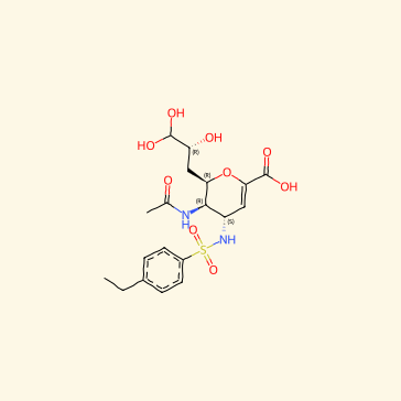 CCc1ccc(S(=O)(=O)N[C@H]2C=C(C(=O)O)O[C@H](C[C@@H](O)C(O)O)[C@@H]2NC(C)=O)cc1